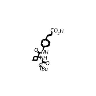 CC(C)(C)OC(=O)NC1(C(=O)Nc2ccc(C=CC(=O)O)cc2)CCC1